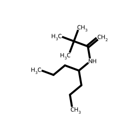 C=C(NC(CCC)CCC)C(C)(C)C